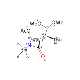 COC(OC)[C@H]([C@H]1C(=O)N([Si](C)(C)C)[C@@H]1OC(C)=O)C(C)(C)C